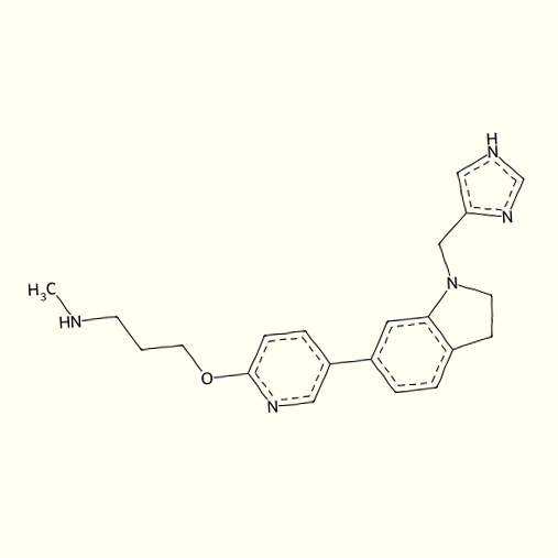 CNCCCOc1ccc(-c2ccc3c(c2)N(Cc2c[nH]cn2)CC3)cn1